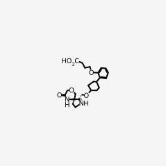 O=C(O)CCCOc1ccccc1C1CCC(OC[C@@H]2NCC[C@@]23COCC(=O)N3)CC1